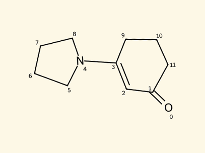 O=C1C=C(N2CCCC2)CCC1